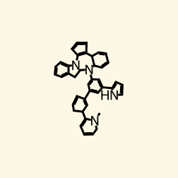 CN1CC=CC=C1C1C=C(c2cc(-c3ccc[nH]3)cc(N3C4C=CC=CC4C4=C(C=C=C4)N4c5ccccc5CC43)c2)C=CC1